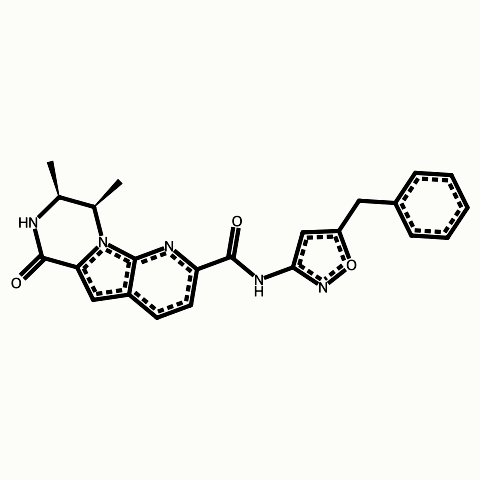 C[C@@H]1NC(=O)c2cc3ccc(C(=O)Nc4cc(Cc5ccccc5)on4)nc3n2[C@@H]1C